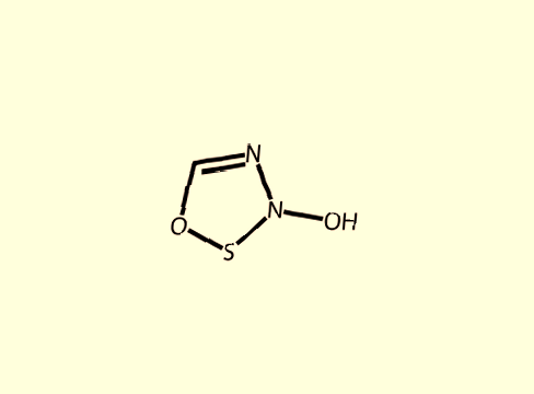 ON1N=COS1